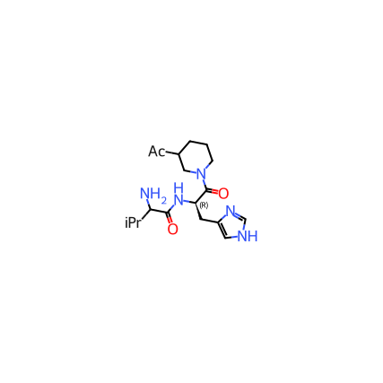 CC(=O)C1CCCN(C(=O)[C@@H](Cc2c[nH]cn2)NC(=O)C(N)C(C)C)C1